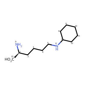 N[C@@H](CCCCNC1CCCCC1)C(=O)O